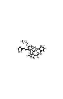 CCOC(=O)C(CCC1CCCC1)N[C@@H](C)C(=O)N1C(C(=O)OCc2ccccc2)CC2CC21